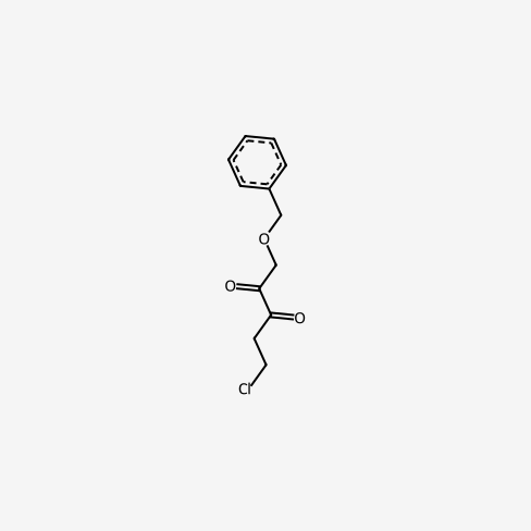 O=C(CCCl)C(=O)COCc1ccccc1